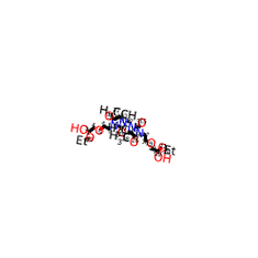 CCOC(O)COCCN1C(=O)N(CN2C(=O)N(CCOCC(O)OCC)C(=O)C2(C)C)C(C)(C)C1=O